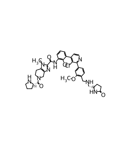 COc1cc(-c2nccc(-c3cccc(NC(=O)c4nc5c(n4C)CCN(C(=O)[C@@H]4CCCN4)C5)c3Cl)c2Cl)ccc1CNC[C@@H]1CCC(=O)N1